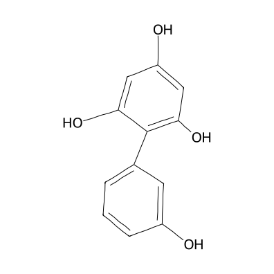 Oc1cccc(-c2c(O)cc(O)cc2O)c1